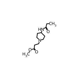 CCC(=O)NC1CCN(CCC(=O)OC)CC1